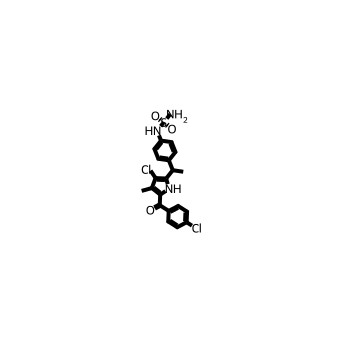 Cc1c(C(=O)c2ccc(Cl)cc2)[nH]c(C(C)c2ccc(NS(N)(=O)=O)cc2)c1Cl